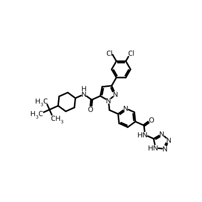 CC(C)(C)C1CCC(NC(=O)c2cc(-c3ccc(Cl)c(Cl)c3)nn2Cc2ccc(C(=O)Nc3nnn[nH]3)cn2)CC1